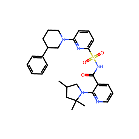 CC1CN(c2ncccc2C(=O)NS(=O)(=O)c2cccc(N3CCCC(c4ccccc4)C3)n2)C(C)(C)C1